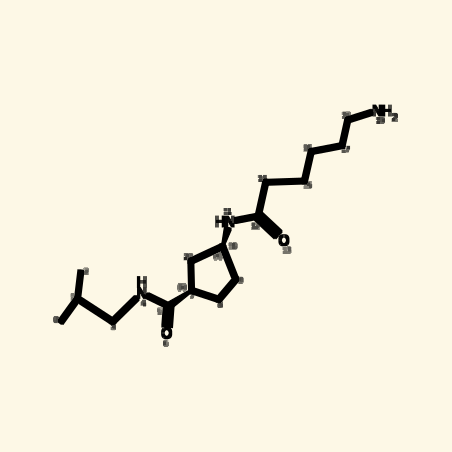 CC(C)CNC(=O)[C@@H]1CC[C@H](NC(=O)CCCCCN)C1